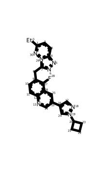 CCc1ccc2nnc(Cc3ccc4ncc(-c5cnn(C6CCC6)c5)cc4c3F)n2n1